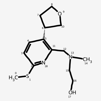 CSc1ccc([C@@H]2CCOC2)c(CN(C)CCO)n1